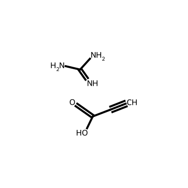 C#CC(=O)O.N=C(N)N